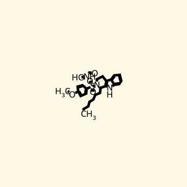 CCCCCCCC1c2[nH]c3ccccc3c2CCN1S(=O)(=O)c1ccc(OC)cc1.O=CNO